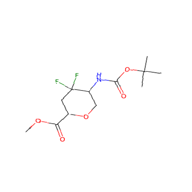 COC(=O)C1CC(F)(F)C(NC(=O)OC(C)(C)C)CO1